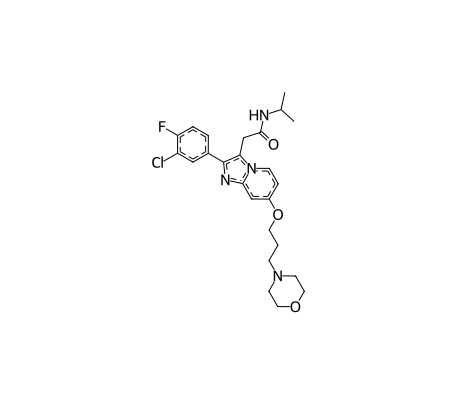 CC(C)NC(=O)Cc1c(-c2ccc(F)c(Cl)c2)nc2cc(OCCCN3CCOCC3)ccn12